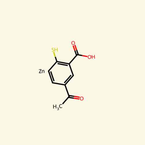 CC(=O)c1ccc(S)c(C(=O)O)c1.[Zn]